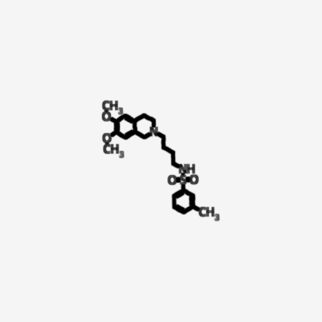 COc1cc2c(cc1OC)CN(CCCCNS(=O)(=O)c1cccc(C)c1)CC2